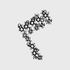 C1=NCCN1Cc1ccc2cocc2c1.C1=NCCN1Cc1cccc2cocc12.C1=NCCN1Cc1cccc2cocc12.C1=NCCN1Cc1occ2ccccc12.COc1c(CC2=NCCN2)ccc2occc12.Cc1c(CC2=NCCN2)ccc2ccoc12.Cc1ccc2ccoc2c1CC1=NCCN1